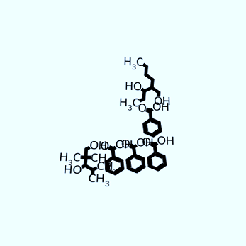 CC(C)C(O)C(C)(C)CO.CCCCC(CO)C(O)CC.O=C(O)c1ccccc1.O=C(O)c1ccccc1.O=C(O)c1ccccc1.O=C(O)c1ccccc1